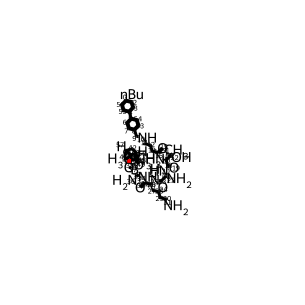 CCCCc1ccc(-c2ccc(CNCCCC(=O)N[C@H](C(=O)N[C@@H](N)C(=O)N[C@@H](CCCCN)C(=O)N[C@@H](N)B3OC4C[C@@H]5C[C@@H](C5(C)C)[C@]4(C)O3)[C@@H](C)O)cc2)cc1